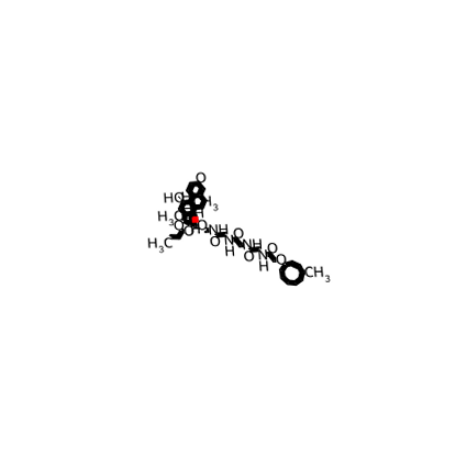 CCCC1O[C@@H]2C[C@H]3[C@@H]4CCC5=CC(=O)C=C[C@]5(C)[C@H]4[C@@H](O)C[C@]3(C)[C@]2(C(=O)COCNC(=O)CNC(=O)CNC(=O)CNC(=O)COC2/C=C\C(C)CCCCC2)O1